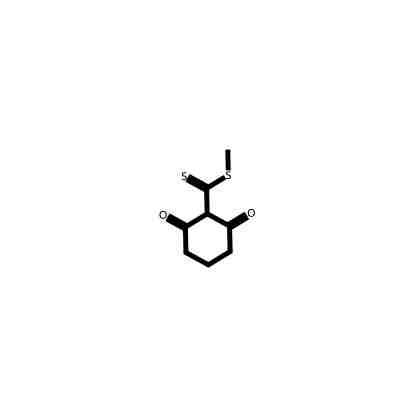 CSC(=S)C1C(=O)CCCC1=O